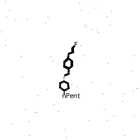 CCCCC[C@H]1CC[C@H](CCc2ccc(CC=CF)cc2)CC1